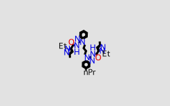 CCCc1ccc2c(c1)nc(NC(=O)c1cc(C)nn1CC)n2CCCCn1c(NC(=O)c2cc(C)nn2CC)nc2ccccc21